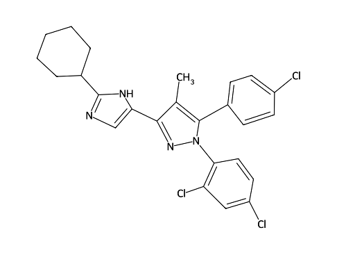 Cc1c(-c2cnc(C3CCCCC3)[nH]2)nn(-c2ccc(Cl)cc2Cl)c1-c1ccc(Cl)cc1